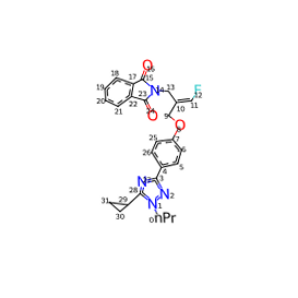 CCCn1nc(-c2ccc(OC/C(=C/F)CN3C(=O)c4ccccc4C3=O)cc2)nc1C1CC1